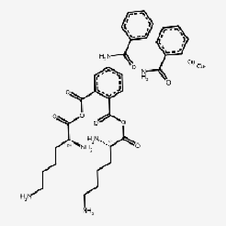 NC(=O)c1ccccc1.NC(=O)c1ccccc1.NCCCC[C@H](N)C(=O)OC(=O)c1ccccc1C(=O)OC(=O)[C@@H](N)CCCCN.[Cu].[Cu]